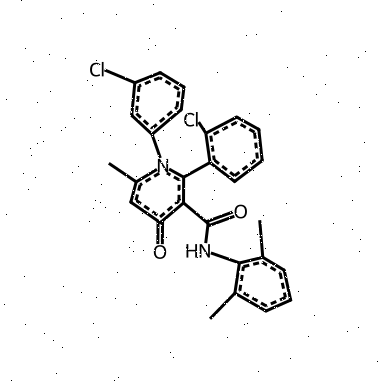 Cc1cccc(C)c1NC(=O)c1c(-c2ccccc2Cl)n(-c2cccc(Cl)c2)c(C)cc1=O